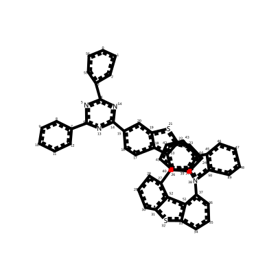 c1ccc(-c2nc(-c3ccccc3)nc(-c3ccc4c(c3)sc3cccc(-c5cccc6sc7cccc(-n8c9ccccc9c9ccccc98)c7c56)c34)n2)cc1